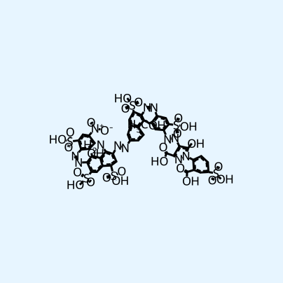 Cc1cc(/N=N/c2c(C(=O)O)nn(-c3ccc(S(=O)(=O)O)cc3C(=O)O)c2O)c(S(=O)(=O)O)cc1/N=N\c1c(S(=O)(=O)O)cc2cc(N=Nc3cc(S(=O)(=O)O)c4cc(S(=O)(=O)O)c(/N=N\c5ccc([N+](=O)[O-])cc5S(=O)(=O)O)c(O)c4c3N)ccc2c1O